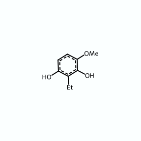 CCc1c(O)ccc(OC)c1O